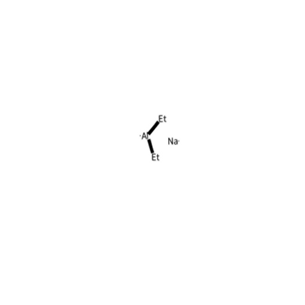 C[CH2][Al][CH2]C.[Na]